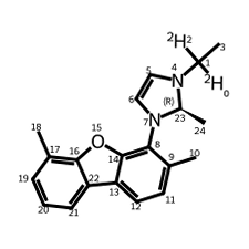 [2H]C([2H])(C)N1C=CN(c2c(C)ccc3c2oc2c(C)cccc23)[C@@H]1C